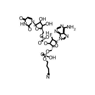 N#CCCCOP(=O)(O)OC[C@H]1O[C@@H](n2cnc3c(N)ncnc32)C(F)C1OP(=O)(O)OC[C@H]1O[C@@H](n2ccc(=O)[nH]c2=O)C(O)C1O